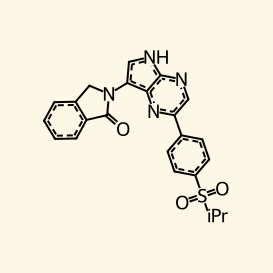 CC(C)S(=O)(=O)c1ccc(-c2cnc3[nH]cc(N4Cc5ccccc5C4=O)c3n2)cc1